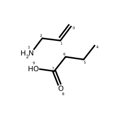 C=CCN.CCCC(=O)O